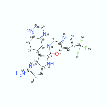 Cc1cc2[nH]c(C(=O)N(Cc3ccc(C(F)(F)F)cn3)[C@@H]3CCCc4nccnc43)cc2nc1N